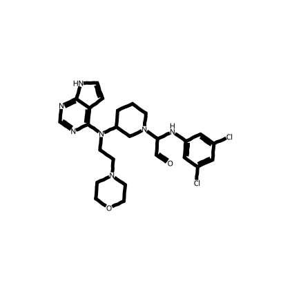 O=CC(Nc1cc(Cl)cc(Cl)c1)N1CCCC(N(CCN2CCOCC2)c2ncnc3[nH]ccc23)C1